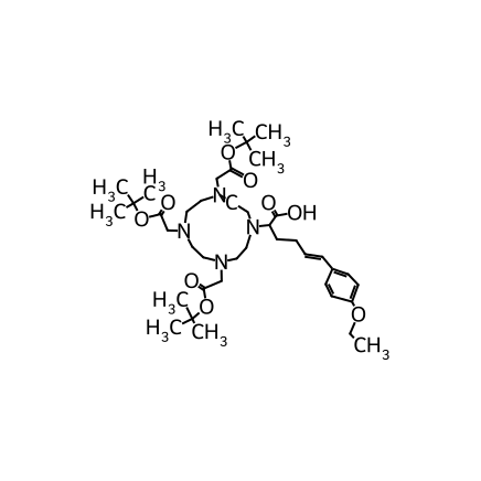 CCOc1ccc(/C=C/CCC(C(=O)O)N2CCN(CC(=O)OC(C)(C)C)CCN(CC(=O)OC(C)(C)C)CCN(CC(=O)OC(C)(C)C)CC2)cc1